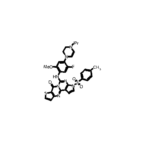 COc1cc(N2CCN(C(C)C)CC2)c(F)cc1Nc1nc2c(ccn2S(=O)(=O)c2ccc(C)cc2)c2nc3ccsc3c(=O)n12